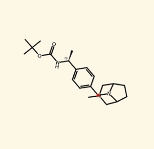 C[C@H](NC(=O)OC(C)(C)C)c1ccc(CN2C3CCC2CN(C)C3)cc1